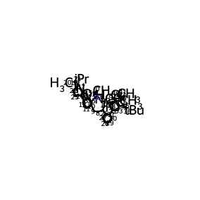 C=C/C1=N/C(=C)C2C(CCc3ccc4c(oc5nc(C(C)C(C)C)ccc54)c31)c1ccccc1-c1cc(CC(C)(C)C)c([Si](C)(C)C)c[n+]12